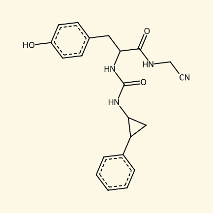 N#CCNC(=O)C(Cc1ccc(O)cc1)NC(=O)NC1CC1c1ccccc1